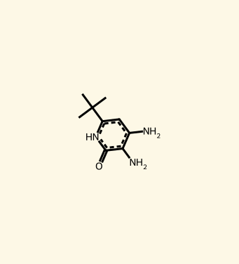 CC(C)(C)c1cc(N)c(N)c(=O)[nH]1